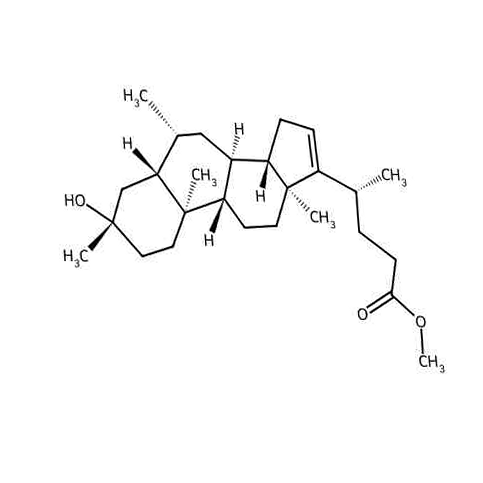 COC(=O)CC[C@@H](C)C1=CC[C@H]2[C@@H]3C[C@@H](C)[C@H]4C[C@@](C)(O)CC[C@]4(C)[C@H]3CC[C@]12C